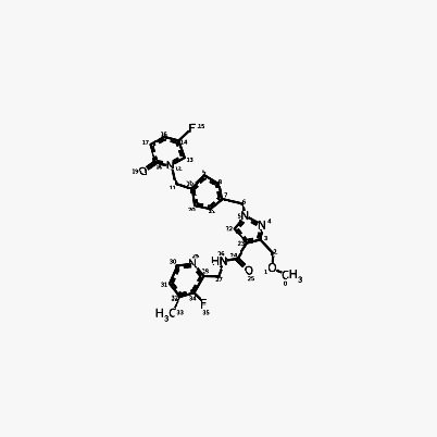 COCc1nn(Cc2ccc(Cn3cc(F)ccc3=O)cc2)cc1C(=O)NCc1nccc(C)c1F